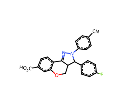 N#Cc1ccc(N2N=C3c4ccc(C(=O)O)cc4OCC3C2c2ccc(F)cc2)cc1